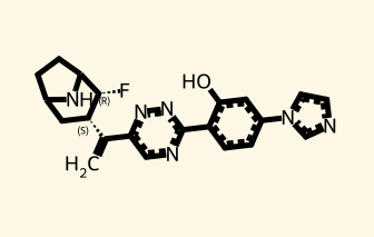 C=C(c1cnc(-c2ccc(-n3ccnc3)cc2O)nn1)[C@@H]1CC2CCC(N2)[C@@H]1F